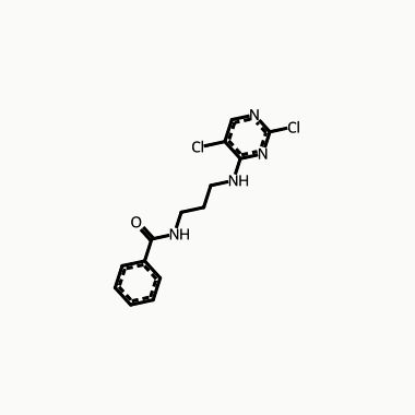 O=C(NCCCNc1nc(Cl)ncc1Cl)c1ccccc1